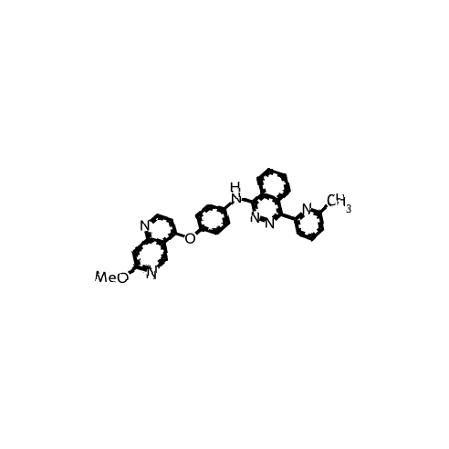 COc1cc2nccc(Oc3ccc(Nc4nnc(-c5cccc(C)n5)c5ccccc45)cc3)c2cn1